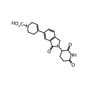 O=C1CCC(N2Cc3ccc(C4=CCN(C(=O)O)CC4)cc3C2=O)C(=O)N1